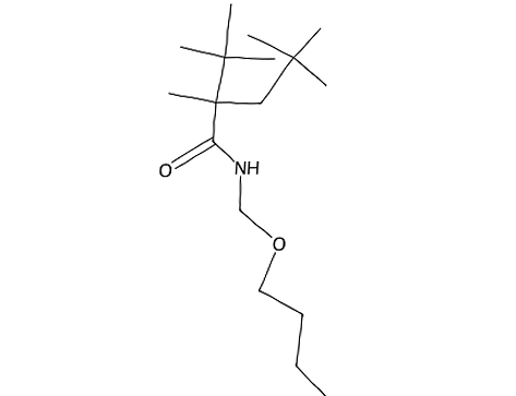 CCCCOCNC(=O)C(C)(CC(C)(C)C)C(C)(C)C